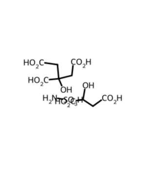 NS(=O)(=O)O.O=C(O)CC(O)(CC(=O)O)C(=O)O.O=C(O)CC(O)C(=O)O